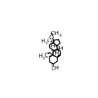 CC[C@]12CC[C@H](O)CC1=CC[C@@H]1[C@@H]2CC[C@]2(C)[C@@H](OC)CC[C@@H]12